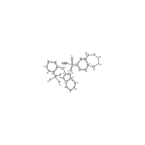 O=S(=O)(N[C@H](c1cc2ccccc2o1)c1ccccc1C(F)(F)F)c1ccc2c(c1)OCCCO2